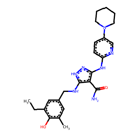 CCc1cc(CNc2[nH]nc(Nc3ccc(N4CCCCC4)cn3)c2C(N)=O)cc(C)c1O